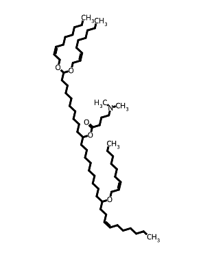 CCCCCC/C=C\CCC(CCCCCCCCCC(CCCCCCCCCC(OC/C=C\CCCCCC)OC/C=C\CCCCCC)OC(=O)CCCN(C)C)OC/C=C\CCCCCC